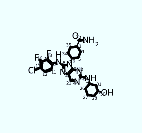 NC(=O)[C@H]1CC[C@@H](n2c(Nc3ccc(Cl)c(F)c3F)nc3cnc(NC4CCC[C@@H](O)C4)nc32)CC1